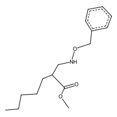 CCCCCC(CNOCc1ccccc1)C(=O)OC